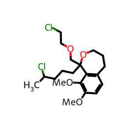 COc1ccc2c(c1OC)C(CCCC(C)Cl)(COCCCl)OCCC2